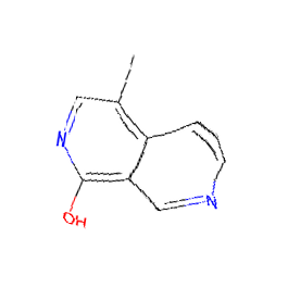 Cc1cnc(O)c2cnccc12